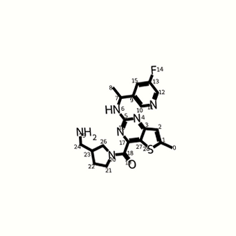 Cc1cc2nc(NC(C)c3cncc(F)c3)nc(C(=O)N3CCC(CN)C3)c2s1